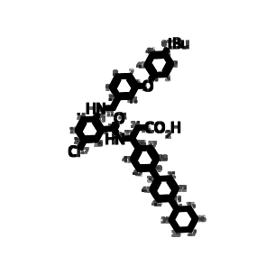 CC(C)(C)c1ccc(Oc2cccc(CNc3ccc(Cl)cc3C(=O)NC(CC(=O)O)c3ccc(-c4ccc(C5CCCCC5)cc4)cc3)c2)cc1